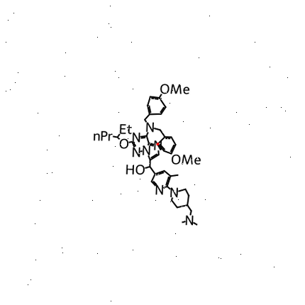 CCCC(CC)Oc1nc(N(Cc2ccc(OC)cc2)Cc2ccc(OC)cc2)c2ncc(C(O)c3cnc(N4CCC(CN(C)C)CC4)c(C)c3)n2n1